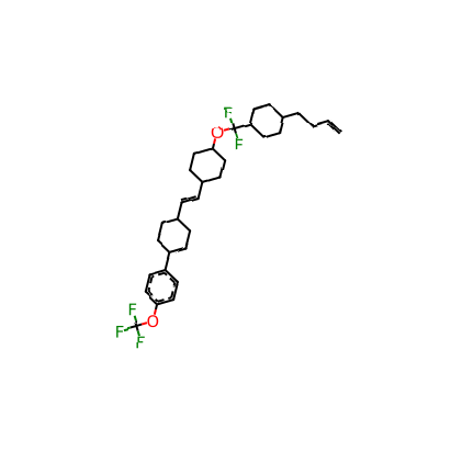 C=CCCC1CCC(C(F)(F)OC2CCC(/C=C/C3CCC(c4ccc(OC(F)(F)F)cc4)CC3)CC2)CC1